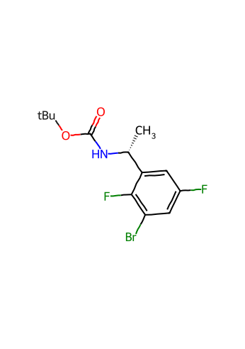 C[C@@H](NC(=O)OC(C)(C)C)c1cc(F)cc(Br)c1F